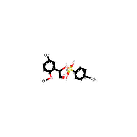 COc1ccc(C)cc1C(C=O)OS(=O)(=O)c1ccc(C)cc1